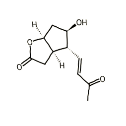 CC(=O)C=C[C@@H]1[C@H]2CC(=O)O[C@H]2C[C@H]1O